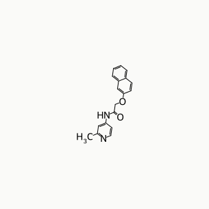 Cc1cc(NC(=O)COc2ccc3ccccc3c2)ccn1